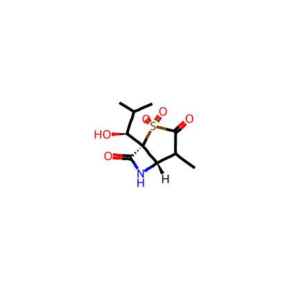 CC(C)[C@H](O)[C@]12C(=O)N[C@H]1C(C)C(=O)S2(=O)=O